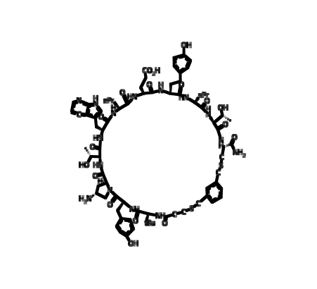 CCC[C@@H]1NC(=O)[C@H](Cc2c[nH]c3ncccc23)NC(=O)[C@H]([C@@H](C)O)NC(=O)[C@@H]2C[C@@H](N)CN2C(=O)[C@H](Cc2ccc(O)cc2)NC(=O)[C@H](C(C)(C)C)NC(=O)CCSCc2cccc(c2)CSC[C@@H](C(N)=O)NC(=O)[C@H]([C@@H](C)O)NC(=O)[C@H](CCC)NC(=O)[C@H](CCc2ccc(O)cc2)NC(=O)[C@H](CCC(=O)O)NC1=O